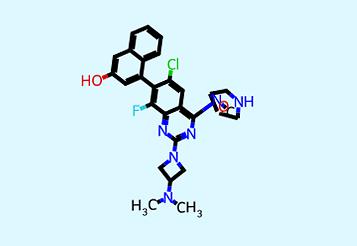 CN(C)C1CN(c2nc(N3CC4COCC3CN4)c3cc(Cl)c(-c4cc(O)cc5ccccc45)c(F)c3n2)C1